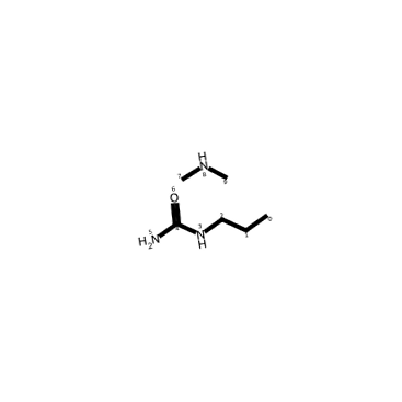 CCCNC(N)=O.CNC